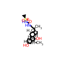 CC[C@H]1[C@@H](O)[C@@H]2[C@H](CC[C@]3(C)[C@@H]([C@H](C)CCNC(=O)NS(=O)(=O)C4CC4)CC[C@@H]23)[C@@]2(C)CC[C@@H](O)C[C@@H]12